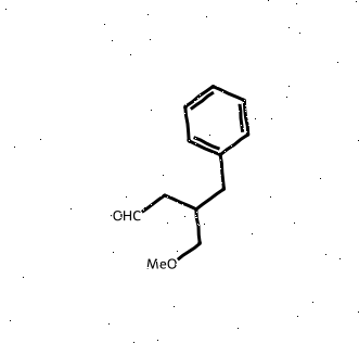 COCC(C[C]=O)Cc1ccccc1